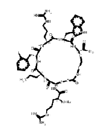 CC(=O)N[C@@H](CCCNC(=N)N)C(=O)N[C@H]1CCC(=O)NCCC[C@@H](C(N)=O)NC(=O)[C@H](Cc2c[nH]c3ccccc23)NC(=O)[C@H](CCCNC(=N)N)NC(=O)[C@@H](Cc2ccccc2I)NC(=O)[C@H](CCN)NC1=O